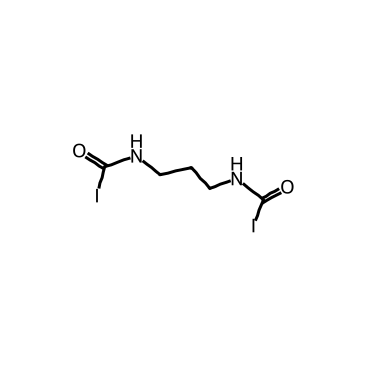 O=C(I)NCCCNC(=O)I